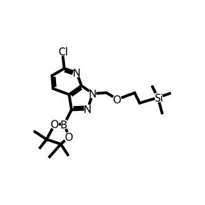 CC1(C)OB(c2nn(COCC[Si](C)(C)C)c3nc(Cl)ccc23)OC1(C)C